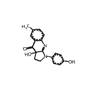 Cc1ccc2c(c1)C(=O)C1(O)CCN(c3ccc(O)cc3)C1=N2